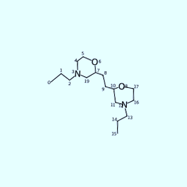 CCCN1CCOC(CCC2CN(CCC)CCO2)C1